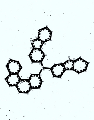 c1ccc2c(c1)ccc1ccc3ccc(N(c4ccc5c(c4)sc4ccccc45)c4ccc5oc6ccccc6c5c4)cc3c12